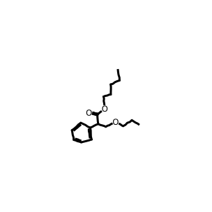 CCCCCOC(=O)C(COCCC)c1ccccc1